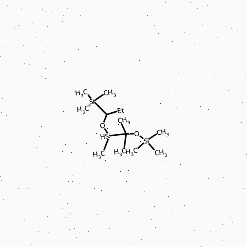 CCC(O[SiH](C)C(C)(C)O[Si](C)(C)C)[Si](C)(C)C